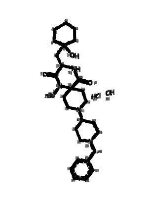 CCCCN1C(=O)[C@@H](CC2(O)CCCCC2)NC(=O)C12CCN(C1CCN(Cc3ccccc3)CC1)CC2.Cl.Cl